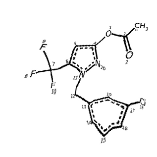 CC(=O)Oc1cc(C(F)(F)F)n(Cc2cccc(Cl)c2)n1